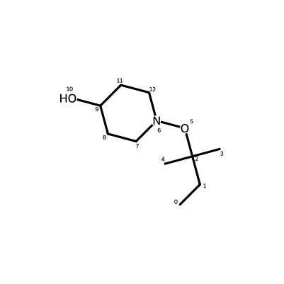 CCC(C)(C)ON1CCC(O)CC1